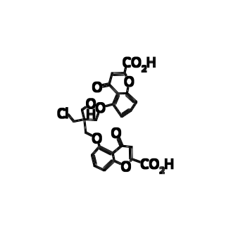 O=C(O)c1cc(=O)c2c(OCC(CO)(CCl)COc3cccc4oc(C(=O)O)cc(=O)c34)cccc2o1